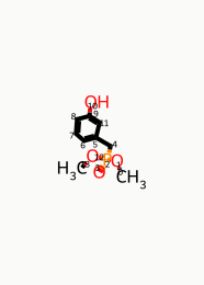 COP(=O)(Cc1cccc(O)c1)OC